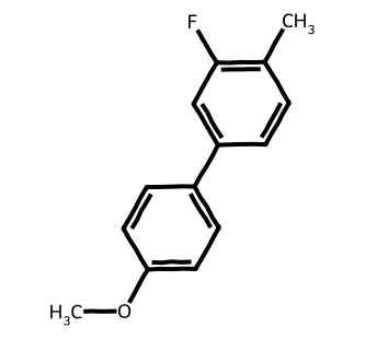 COc1ccc(-c2ccc(C)c(F)c2)cc1